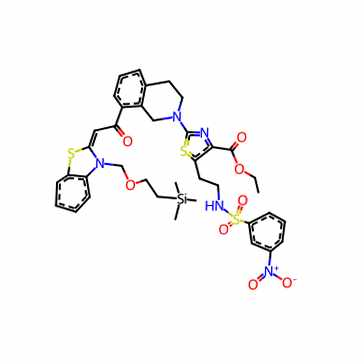 CCOC(=O)c1nc(N2CCc3cccc(C(=O)/C=C4/Sc5ccccc5N4COCC[Si](C)(C)C)c3C2)sc1CCNS(=O)(=O)c1cccc([N+](=O)[O-])c1